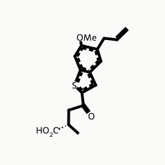 C=CCc1cc2cc(C(=O)C[C@H](C)C(=O)O)sc2cc1OC